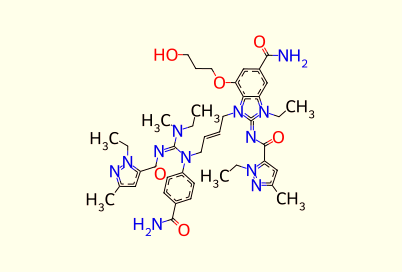 CCN(C)/C(=N/C(=O)c1cc(C)nn1CC)N(C/C=C/Cn1/c(=N/C(=O)c2cc(C)nn2CC)n(CC)c2cc(C(N)=O)cc(OCCCO)c21)c1ccc(C(N)=O)cc1